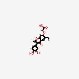 CCc1cc2c(=O)c(-c3ccc(O)c(O)c3)c(C)oc2cc1OCC(=O)O